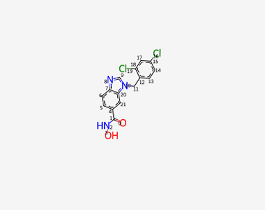 O=C(NO)c1ccc2ncn(Cc3ccc(Cl)cc3Cl)c2c1